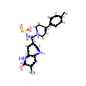 CCc1cc2ncc(CN3CC=C(c4ccc(C)cc4)CC3)cc2[nH]c1=O.N[SH](=O)=O